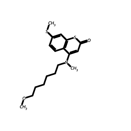 COCCCCCCN(C)c1cc(=O)sc2cc(SC)ccc12